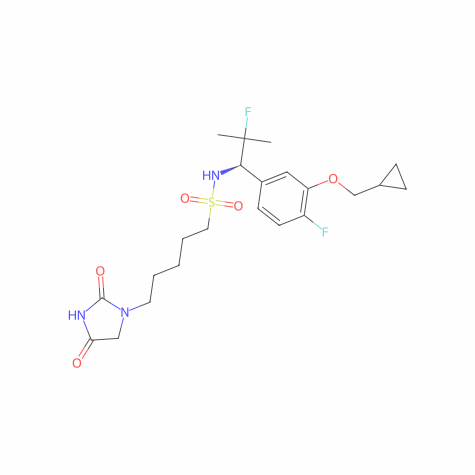 CC(C)(F)[C@H](NS(=O)(=O)CCCCCN1CC(=O)NC1=O)c1ccc(F)c(OCC2CC2)c1